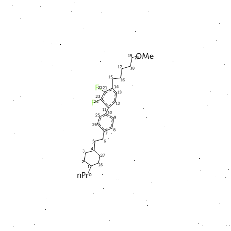 CCCC1CCC(CCc2ccc(-c3ccc(CCCCCOC)c(F)c3F)cc2)CC1